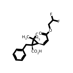 CC1(C)[C@@H](/C=C\C(=O)OCC(F)F)[C@@]1(Cc1ccccc1)C(=O)O